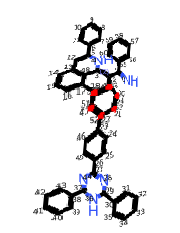 N=C(/C(=C1\NC(c2ccccc2)=Cc2cccc(-c3cccc(-c4ccc(C5=NC(c6ccccc6)NC(c6ccccc6)=N5)cc4)c3)c21)c1ccccc1)c1ccccc1